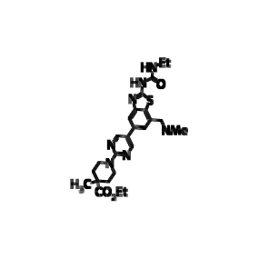 CCNC(=O)Nc1nc2cc(-c3cnc(N4CCC(C)(C(=O)OCC)CC4)nc3)cc(CNC)c2s1